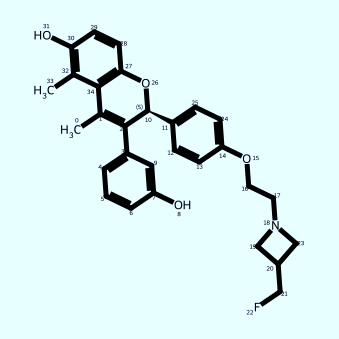 CC1=C(c2cccc(O)c2)[C@H](c2ccc(OCCN3CC(CF)C3)cc2)Oc2ccc(O)c(C)c21